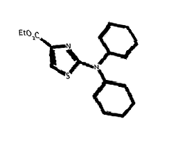 CCOC(=O)c1csc(N(C2CCCCC2)C2CCCCC2)n1